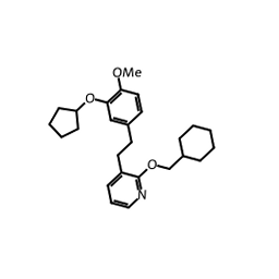 COc1ccc(CCc2cccnc2OCC2CCCCC2)cc1OC1CCCC1